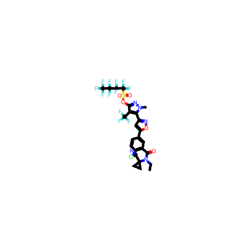 CCN(C(=O)c1cc(-c2cc(-c3c(C(F)(F)F)c(OS(=O)(=O)C(F)(F)C(F)(F)C(F)(F)C(F)(F)F)nn3C)no2)ccc1Cl)C1(C#N)CC1